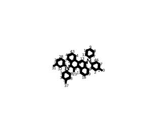 Cc1ccc(N(c2ccccc2)c2cc3c(c4ccccc24)C(C)C(N(C2=CC=CC(C)C2)c2ccc(C)cc2)c2ccccc2-3)cc1